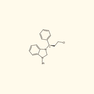 CC(C)N1[CH]N([C@H](CCCl)c2ccccc2)c2ccccc21